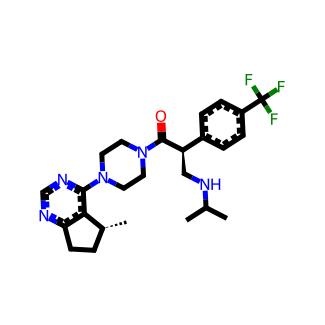 CC(C)NC[C@@H](C(=O)N1CCN(c2ncnc3c2[C@H](C)CC3)CC1)c1ccc(C(F)(F)F)cc1